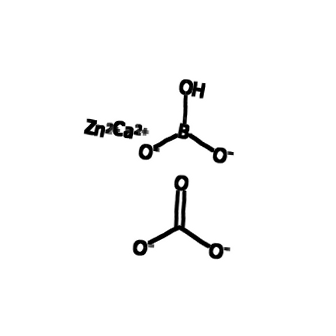 O=C([O-])[O-].[Ca+2].[O-]B([O-])O.[Zn+2]